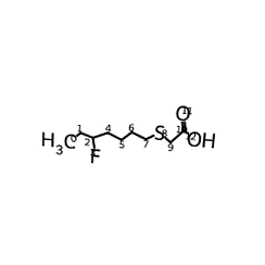 CCC(F)CCCCSCC(=O)O